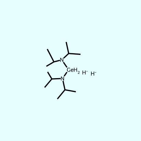 CC(C)[N]([GeH2][N](C(C)C)C(C)C)C(C)C.[H-].[H-]